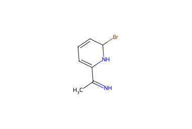 CC(=N)C1=CC=CC(Br)N1